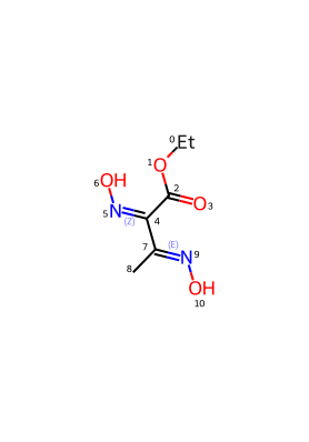 CCOC(=O)C(=N\O)/C(C)=N/O